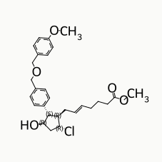 COC(=O)CCCC=CC[C@@H]1[C@@H](c2ccc(COCc3ccc(OC)cc3)cc2)[C@H](O)C[C@H]1Cl